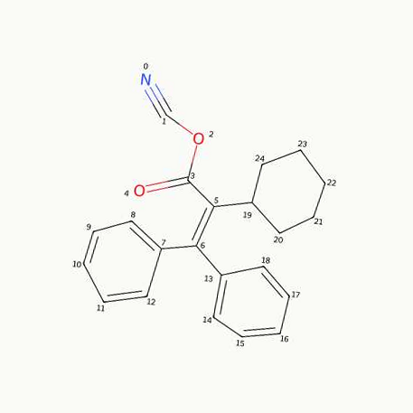 N#COC(=O)C(=C(c1ccccc1)c1ccccc1)C1CCCCC1